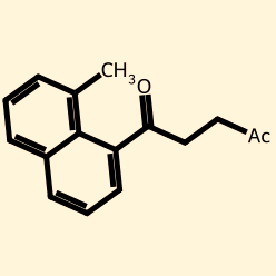 CC(=O)CCC(=O)c1cccc2cccc(C)c12